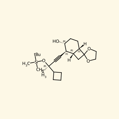 CC(C)(C)[Si](C)(C)O[C@@](C)(C#C[C@@H]1[C@H]2CC3(OCCO3)[C@H]2CC[C@H]1O)C1CCC1